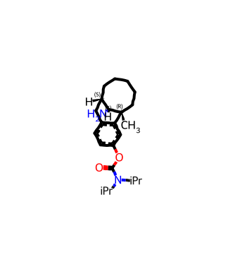 CC(C)N(C(=O)Oc1ccc2c(c1)[C@@]1(C)CCCCC[C@@H](C2)[C@@H]1N)C(C)C